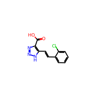 O=C(O)c1nn[nH]c1C=Cc1ccccc1Cl